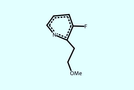 COCCc1ncccc1F